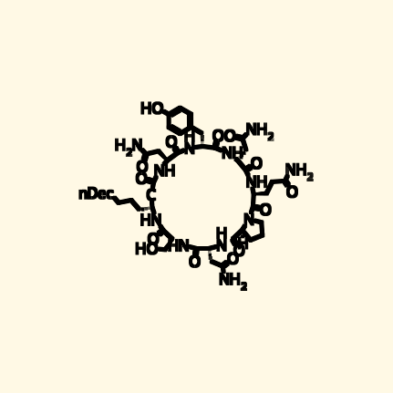 CCCCCCCCCCCCC[C@@H]1CC(=O)N[C@@H](CC(N)=O)C(=O)N[C@H](Cc2ccc(O)cc2)C(=O)N[C@H](CC(N)=O)C(=O)N[C@@H](CCC(N)=O)C(=O)N2CCC[C@H]2C(=O)N[C@H](CC(N)=O)C(=O)N[C@@H](CO)C(=O)N1